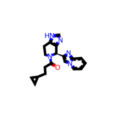 O=C(CCC1CC1)N1CCc2[nH]cnc2[C@H]1c1cn2ccccc2n1